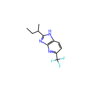 CCC(C)c1nc2nc(C(F)(F)F)ccc2[nH]1